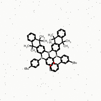 CC(C)(C)c1ccc(N2c3cc4c(cc3B3c5cc6c(cc5N(c5ccc(C(C)(C)C)cc5-c5ccccc5)c5cc(C(C)(C)C)cc2c53)C(C)(C)c2ccccc2C6(C)C)C(C)(C)c2ccccc2C4(C)C)cc1